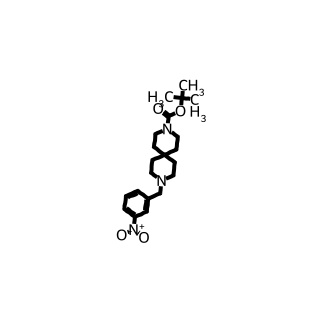 CC(C)(C)OC(=O)N1CCC2(CCN(Cc3cccc([N+](=O)[O-])c3)CC2)CC1